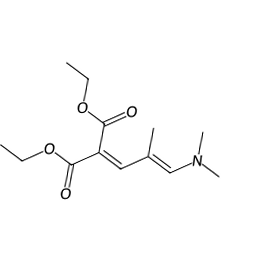 CCOC(=O)C(=C/C(C)=C/N(C)C)C(=O)OCC